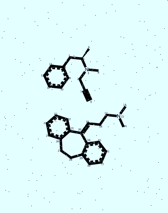 C#CCN(C)[C@H](C)Cc1ccccc1.CN(C)CCC=C1c2ccccc2CCc2ccccc21